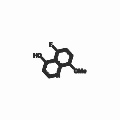 COc1ccc(F)c2c(O)ccnc12